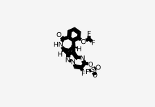 O=C1N[C@@H]2C[C@H](c3c(OC(F)F)cccc31)c1c2nn2cc(F)c(OS(=O)(=O)F)nc12